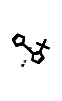 CC(C)(C)C1=[C]([Ti+2][C]2=CC=CC2)CC=C1.[H-].[H-]